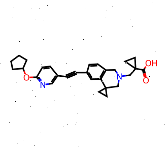 O=C(O)C1(CN2Cc3ccc(C#Cc4ccc(OC5CCCC5)nc4)cc3C3(CC3)C2)CC1